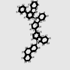 C1=CC2Sc3c(N4C5CCC=CC5C5C=C(c6ccc7c(c6)c6c(n7C7C=C8CCC9=CCCC=C9C8=CC7)C=CCC6)CCC54)ccc(-c4ccccc4)c3C2C=C1